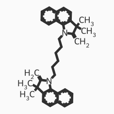 C=C1N(CCCCCCN2C(=C)C(C)(C)c3ccc4ccccc4c32)c2c(ccc3ccccc23)C1(C)C